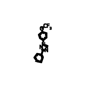 FC(F)(F)Oc1ccc(-n2cnc(-c3cc[c]cc3)n2)cc1